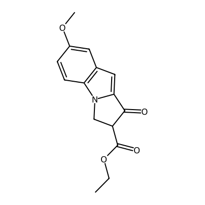 CCOC(=O)C1Cn2c(cc3cc(OC)ccc32)C1=O